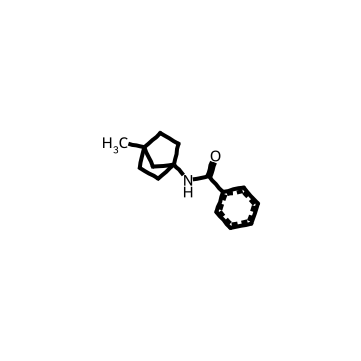 CC12CCC(NC(=O)c3ccccc3)(CC1)C2